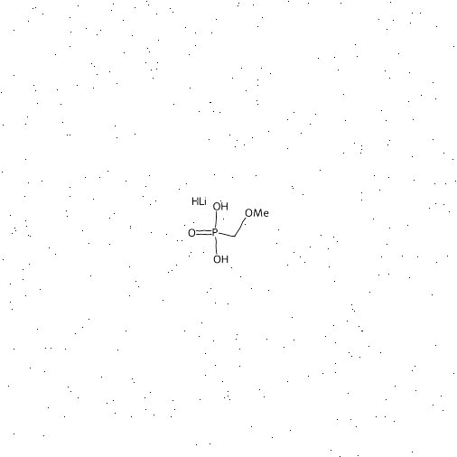 COCP(=O)(O)O.[LiH]